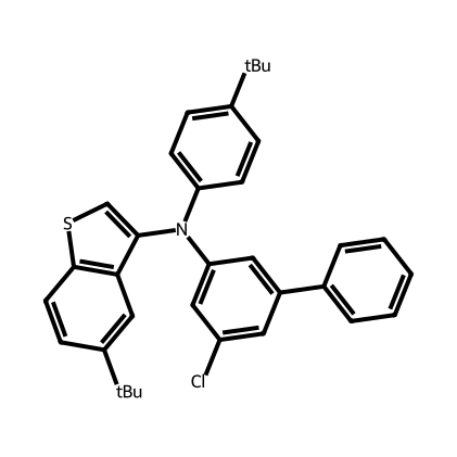 CC(C)(C)c1ccc(N(c2cc(Cl)cc(-c3ccccc3)c2)c2csc3ccc(C(C)(C)C)cc23)cc1